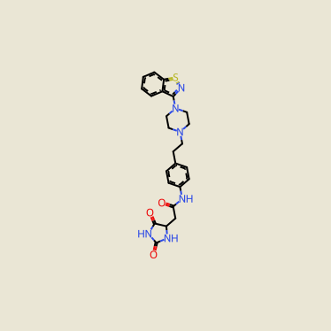 O=C(CC1NC(=O)NC1=O)Nc1ccc(CCN2CCN(c3nsc4ccccc34)CC2)cc1